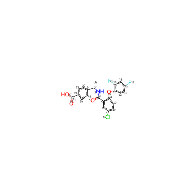 C[C@H](NC(=O)c1cc(Cl)ccc1Oc1ccc(F)cc1F)c1ccc(C(=O)O)cc1